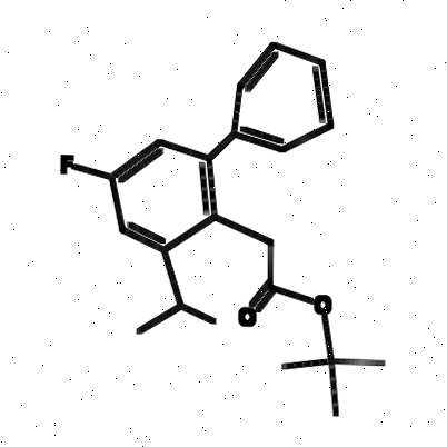 CC(C)c1cc(F)cc(-c2ccccc2)c1CC(=O)OC(C)(C)C